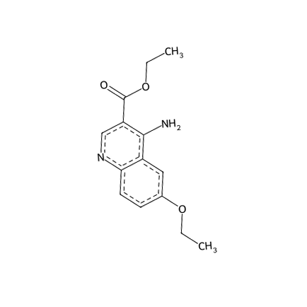 CCOC(=O)c1cnc2ccc(OCC)cc2c1N